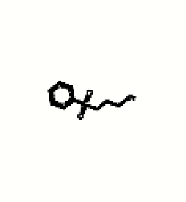 CC(C)CCCS(=O)(=O)c1ccccc1